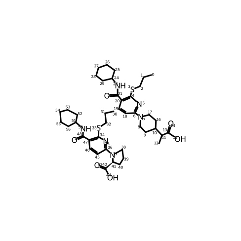 CCCSc1nc(N2CCC(C(C)C(=O)O)CC2)ccc1C(=O)NC1CCCCC1.CCCSc1nc(N2CCC[C@H]2C(=O)O)ccc1C(=O)NC1CCCCC1